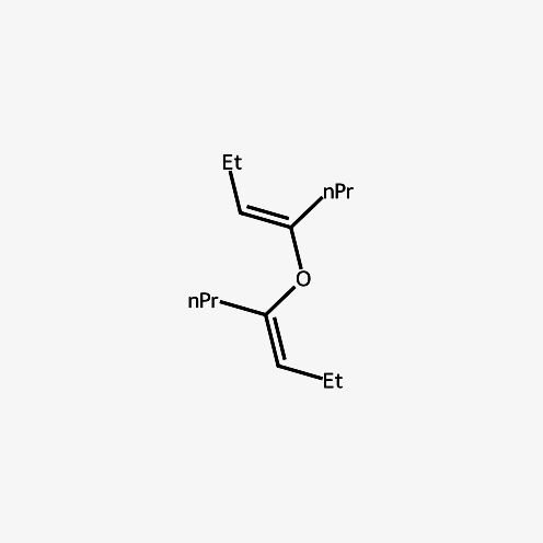 CCC=C(CCC)OC(=CCC)CCC